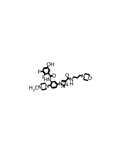 CN1CCN(c2ccc(-n3cc(C(=O)NCCCN4CCOCC4)nn3)cc2NC(=O)c2cc(O)cc(F)c2F)CC1